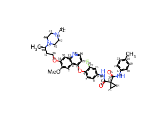 COc1cc2c(Oc3ccc(NC(=O)C4(C(=O)Nc5ccc(C)cc5)CC4)cc3F)ccnc2cc1OCC[C@@H](C)N1CCN(C(C)=O)CC1